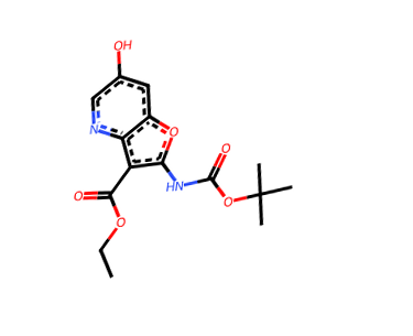 CCOC(=O)c1c(NC(=O)OC(C)(C)C)oc2cc(O)cnc12